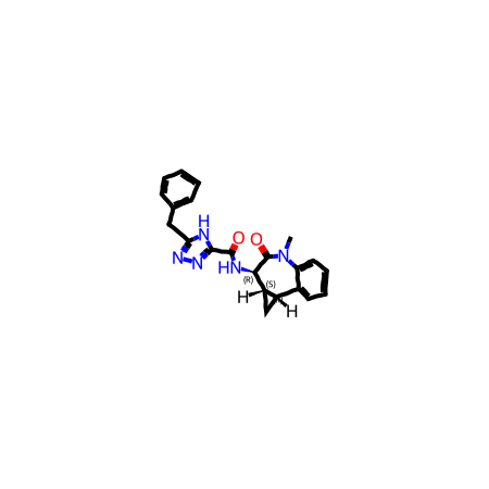 CN1C(=O)[C@H](NC(=O)c2nnc(Cc3ccccc3)[nH]2)[C@H]2C[C@H]2c2ccccc21